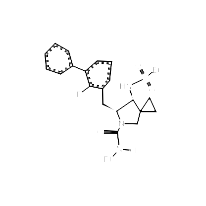 CCN(C)C(=O)N1CC2(CC2)[C@H](NS(=O)(=O)CC)[C@@H]1Cc1cccc(-c2ccccc2)c1F